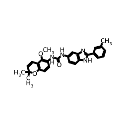 COc1c(NC(=O)Nc2ccc3[nH]c(-c4cccc(C)c4)nc3c2)ccc2c1C=CC(C)(C)O2